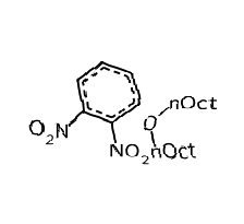 CCCCCCCCOCCCCCCCC.O=[N+]([O-])c1ccccc1[N+](=O)[O-]